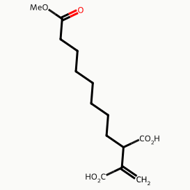 C=C(C(=O)O)C(CCCCCCCC(=O)OC)C(=O)O